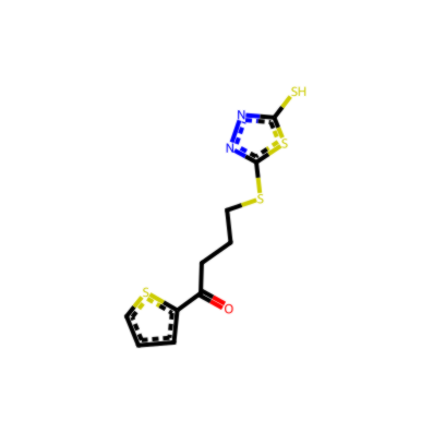 O=C(CCCSc1nnc(S)s1)c1cccs1